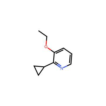 CCOc1cccnc1C1CC1